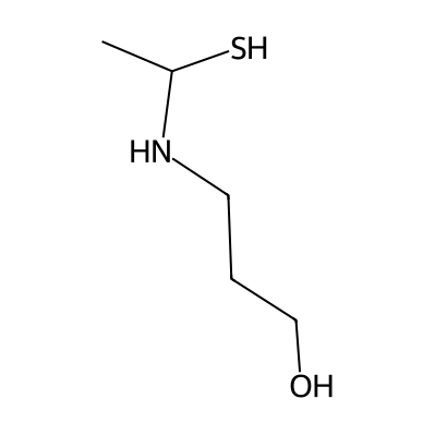 CC(S)NCCCO